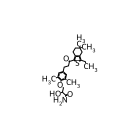 CCc1sc(C(=O)CCc2cc(C)c(OCC(O)C(N)=O)c(C)c2)c2c1CC(C)(C)CC2